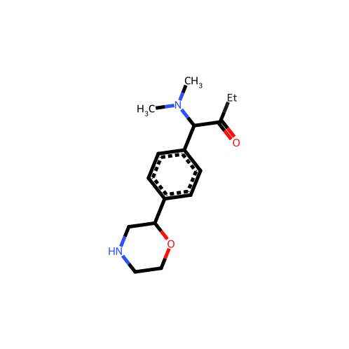 CCC(=O)C(c1ccc(C2CNCCO2)cc1)N(C)C